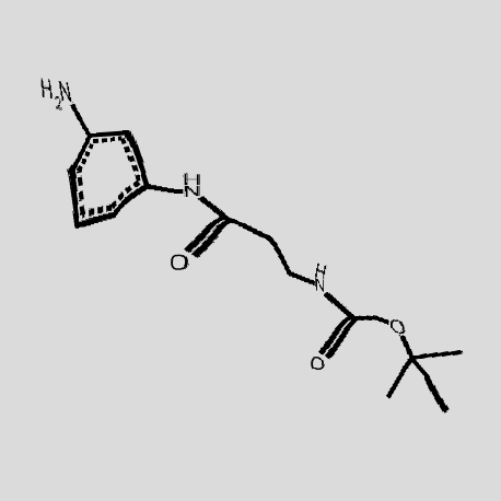 CC(C)(C)OC(=O)NCCC(=O)Nc1cccc(N)c1